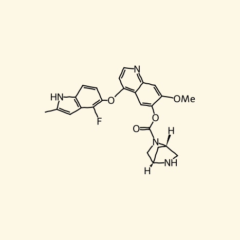 COc1cc2nccc(Oc3ccc4[nH]c(C)cc4c3F)c2cc1OC(=O)N1C[C@@H]2C[C@H]1CN2